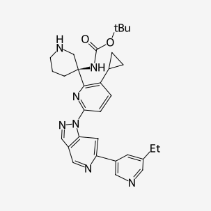 CCc1cncc(-c2cc3c(cn2)cnn3-c2ccc(C3CC3)c([C@]3(NC(=O)OC(C)(C)C)CCCNC3)n2)c1